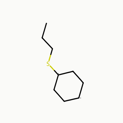 CCCS[C]1CC[CH]CC1